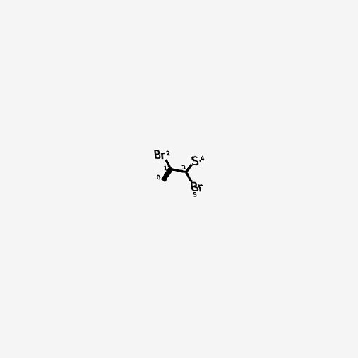 C=C(Br)C([S])Br